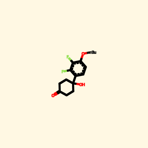 CCCCOc1ccc(C2(O)CCC(=O)CC2)c(F)c1F